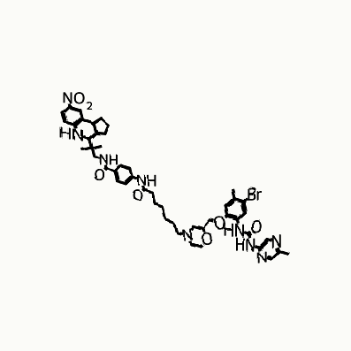 Cc1cnc(NC(=O)Nc2cc(Br)c(C)cc2OC[C@@H]2CN(CCCCCCC(=O)Nc3ccc(C(=O)NCC(C)(C)C4Nc5ccc([N+](=O)[O-])cc5C5CCCC54)cc3)CCO2)cn1